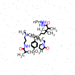 C=C(C(=O)NNCCC)C(C)(C)CCCCCCCCCCCC.C=C(C)C(=O)NCCCN(C)C.C=CN1CCCC1=O.Cc1ccc(S(=O)(=O)O)cc1